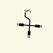 N#CC(C#N)(C#N)CC[SiH3]